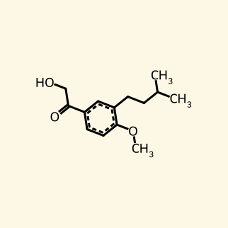 COc1ccc(C(=O)CO)cc1CCC(C)C